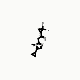 Cn1c(C2CC2)cnc1CC(=O)C1CC1(F)F